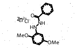 COc1ccc(OC)c(NNC(=O)c2ccccc2)c1.[Cl-].[Cl-].[Zn+2]